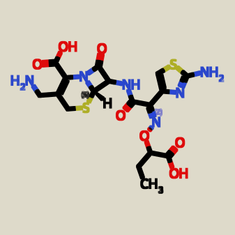 CCC(O/N=C(\C(=O)NC1C(=O)N2C(C(=O)O)=C(CN)CS[C@@H]12)c1csc(N)n1)C(=O)O